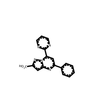 O=C(O)c1cc2nc(-c3ccccc3)cc(-c3ncccn3)n2n1